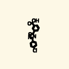 O=C(O)c1cccc(-c2nc(-c3ccc(Cl)cc3)no2)c1